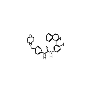 S=C(Nc1ccc(CN2CCOCC2)cc1)Nc1ccc(I)c(-c2nccc3ccccc23)c1